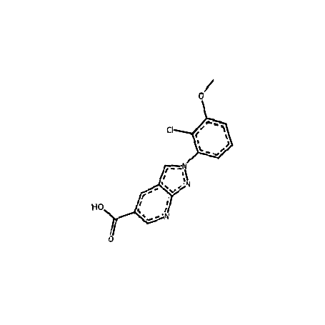 COc1cccc(-n2cc3cc(C(=O)O)cnc3n2)c1Cl